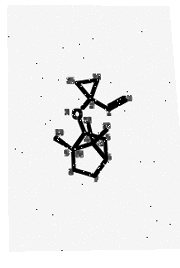 C=CC1(OC2CC3CC[C@@]2(C)C3(C)C)CC1